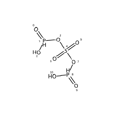 O=[PH](O)OS(=O)(=O)O[PH](=O)O